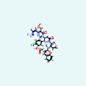 COCC(NC(=O)C(C)N)C(=O)N(C)C(CC(=O)NC1COCCC1N(C)C(=O)[C@@H](CC(=O)O)Cc1ccccc1)Cc1ccc(Cl)cc1